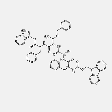 CC(C)[C@H](NC(=O)[C@H](Cc1ccccc1)NC(=O)OCC1c2ccccc2-c2ccccc21)C(=O)N[C@H](C(=O)NC(Cc1ccccc1)C(=O)Oc1c[nH]c2ccccc12)C(C)OCc1ccccc1